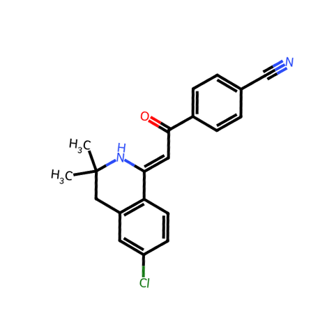 CC1(C)Cc2cc(Cl)ccc2/C(=C/C(=O)c2ccc(C#N)cc2)N1